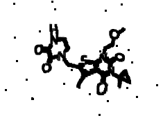 COCCn1c(=O)n(C2(C)CC2)c(=O)c2c(C)c(CN3CCNC(=O)C3=O)sc21